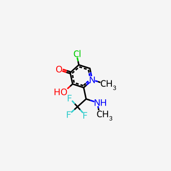 CNC(c1c(O)c(=O)c(Cl)cn1C)C(F)(F)F